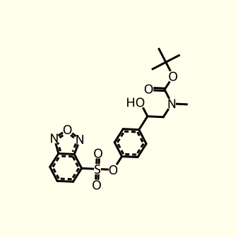 CN(CC(O)c1ccc(OS(=O)(=O)c2cccc3nonc23)cc1)C(=O)OC(C)(C)C